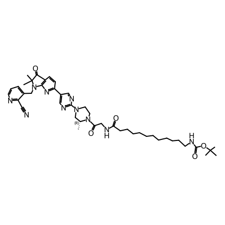 C[C@@H]1CN(c2ncc(-c3ccc4c(n3)N(Cc3cccnc3C#N)C(C)(C)C4=O)cn2)CCN1C(=O)CNC(=O)CCCCCCCCCCCNC(=O)OC(C)(C)C